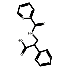 O=C(NCC(C(=O)O)c1ccccc1)c1ccccn1